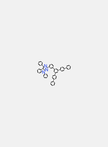 c1ccc(-c2ccc(-c3cc(-c4ccc(-c5ccccc5)cc4)cc(-c4cccc(-c5nc(-c6ccccc6)c6c7ccccc7n(-c7ccccc7)c6n5)c4)c3)cc2)cc1